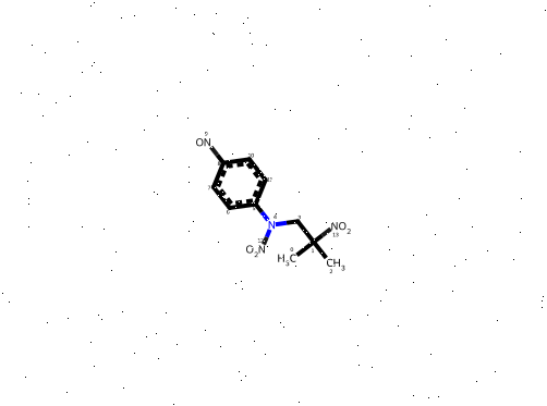 CC(C)(CN(c1ccc(N=O)cc1)[N+](=O)[O-])[N+](=O)[O-]